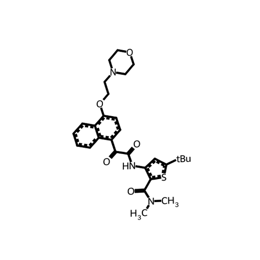 CN(C)C(=O)c1sc(C(C)(C)C)cc1NC(=O)C(=O)c1ccc(OCCN2CCOCC2)c2ccccc12